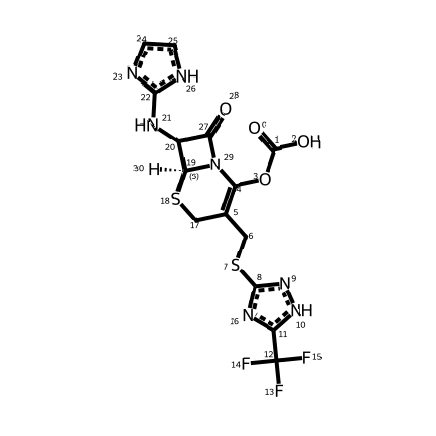 O=C(O)OC1=C(CSc2n[nH]c(C(F)(F)F)n2)CS[C@H]2C(Nc3ncc[nH]3)C(=O)N12